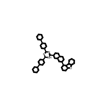 c1ccc(-c2ccc(C3=NC(c4ccc(-c5ccccc5)cc4)NC(c4ccc5ccc(-c6cccc7oc8ccccc8c67)cc5c4)=N3)cc2)cc1